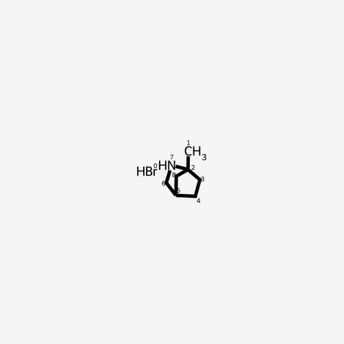 Br.CC12CCC(CN1)C2